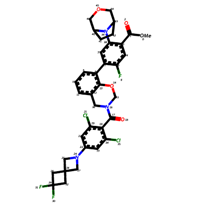 COC(=O)c1cc(F)c(-c2cccc3c2OCN(C(=O)c2c(Cl)cc(N4CC5(C4)CC(F)(F)C5)cc2Cl)C3)cc1N1C2CCC1COC2